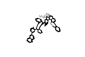 CC1(C)c2cc(-c3c4ccccc4c(-c4cccc(-c5ccc6ccccc6c5)c4)c4ccccc34)ccc2-c2c1ccc1ccc3c(c21)SC1C=CC=CC31